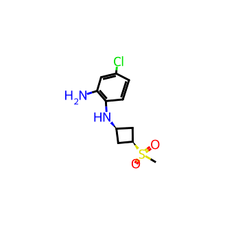 CS(=O)(=O)[C@H]1C[C@@H](Nc2ccc(Cl)cc2N)C1